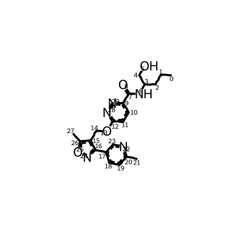 CCCC(CO)NC(=O)c1ccc(OCc2c(-c3ccc(C)nc3)noc2C)nn1